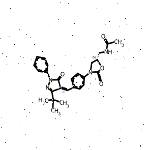 CC(=O)NC[C@H]1CN(c2ccc(/C=C3\C(=O)N(c4ccccc4)N=C3C(C)(C)C)cc2)C(=O)O1